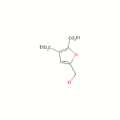 CCOC(=O)c1cc(C[O])oc1C(=O)OCC